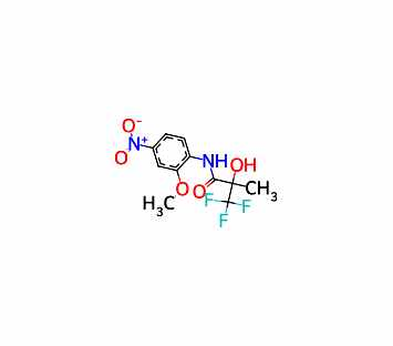 COc1cc([N+](=O)[O-])ccc1NC(=O)C(C)(O)C(F)(F)F